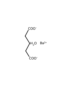 O.O=C([O-])CCCC(=O)[O-].[Ba+2]